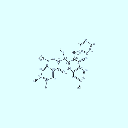 CCC(c1nc2cc(Cl)ccc2c(=O)n1Nc1ccccc1)N(CCN)C(=O)c1ccc(F)c(C)c1